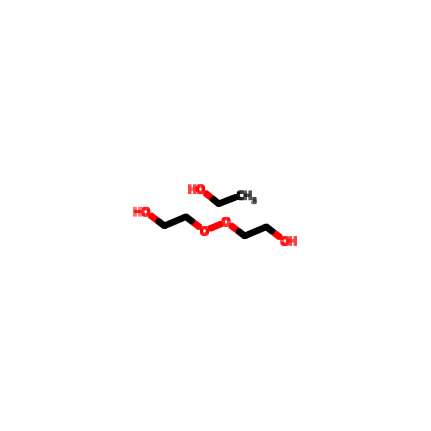 CCO.OCCOOCCO